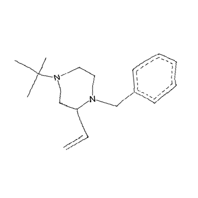 C=CC1CN(C(C)(C)C)CCN1Cc1ccccc1